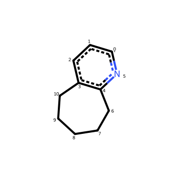 [c]1ccc2c(n1)CCCCC2